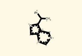 CC(C)C(C)c1occ2ncncc12